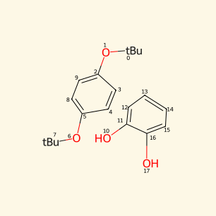 CC(C)(C)Oc1ccc(OC(C)(C)C)cc1.Oc1ccccc1O